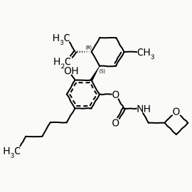 C=C(C)[C@@H]1CCC(C)=C[C@H]1c1c(O)cc(CCCCC)cc1OC(=O)NCC1CCO1